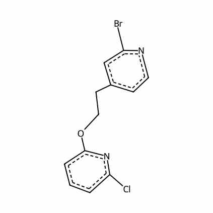 Clc1cccc(OCCc2ccnc(Br)c2)n1